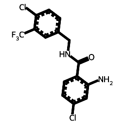 Nc1cc(Cl)ccc1C(=O)NCc1ccc(Cl)c(C(F)(F)F)c1